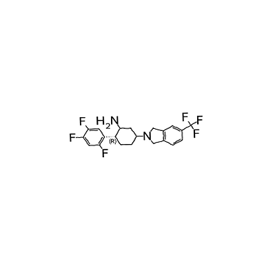 NC1CC(N2Cc3ccc(C(F)(F)F)cc3C2)CC[C@@H]1c1cc(F)c(F)cc1F